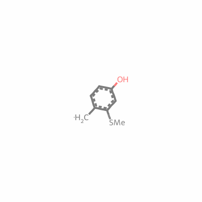 [CH2]c1ccc(O)cc1SC